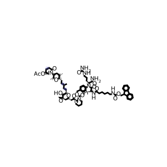 CC(=O)O[C@@H](C)/C=C\C(=O)N[C@@H]1C[C@H](C)[C@H](C/C=C(C)/C=C/[C@H]2O[C@H](CC(=O)N3CCCCN3C(=O)OCc3ccc(N(C(=O)[C@@H](NC(=O)CCCCCNC(=O)OCC4c5ccccc5-c5ccccc54)C(C)C)[C@@H](CCCNC(N)=O)C(N)=O)cc3)C[C@@]3(CO3)[C@@H]2O)O[C@@H]1C